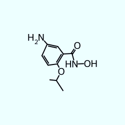 CC(C)Oc1ccc(N)cc1C(=O)NO